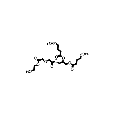 CCCCCCCCCCCCCC(=O)OCC(COC(=O)COCC(=O)OCCO)OC(=O)CCCCCCCCCCCCC